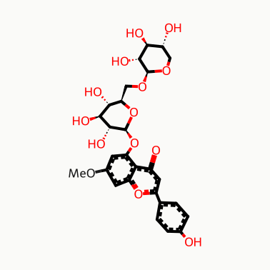 COc1cc(O[C@@H]2O[C@H](CO[C@@H]3OC[C@@H](O)[C@H](O)[C@H]3O)[C@@H](O)[C@H](O)[C@H]2O)c2c(=O)cc(-c3ccc(O)cc3)oc2c1